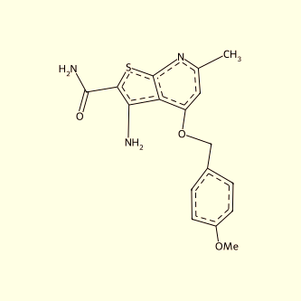 COc1ccc(COc2cc(C)nc3sc(C(N)=O)c(N)c23)cc1